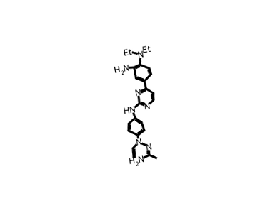 C=CN(/N=C(/C)N)c1ccc(Nc2nccc(-c3ccc(N(CC)CC)c(N)c3)n2)cc1